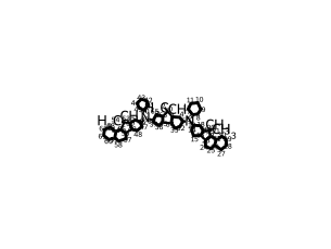 CC1(C)c2cc(N(c3ccccc3)c3ccc4c(c3)C(C)(C)c3c-4ccc4ccccc34)ccc2-c2ccc(N(c3ccccc3)c3ccc4c(c3)C(C)(C)c3c-4ccc4ccccc34)cc21